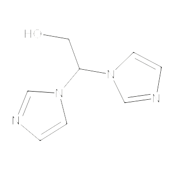 OCC(n1ccnc1)n1ccnc1